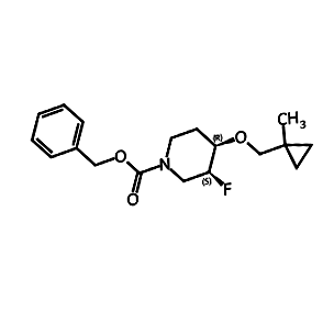 CC1(CO[C@@H]2CCN(C(=O)OCc3ccccc3)C[C@@H]2F)CC1